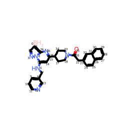 Bc1cnn2c(NCc3cccnc3)cc(C3CCN(C(=O)Cc4ccc5ccccc5c4)CC3)nc12